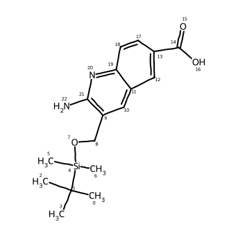 CC(C)(C)[Si](C)(C)OCc1cc2cc(C(=O)O)ccc2nc1N